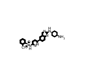 N[C@H]1CC[C@H](Nc2ncc3cc(-c4ccc(NS(=O)(=O)c5ccccc5Cl)nn4)ccc3n2)CC1